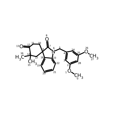 COc1cc(CN2C(=O)C3(CCC(=O)C(C)(C)C3)c3ccccc32)cc(OC)c1